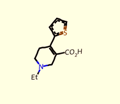 CCN1CCC(c2cccs2)=C(C(=O)O)C1